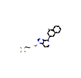 CC(C)(C)c1cc(-c2nccc3c2ncn3COCCS(C)(C)C)cc2ccccc12